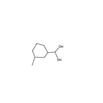 CC1CCCC(C(O)O)C1